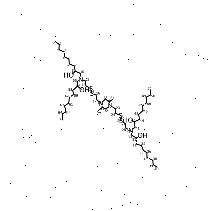 CCCCCCCCC(O)CN(CCSSCCN1CC(C)N(CCSSCCN(CC(O)CCCCCCCC)CC(O)CCCCCCCC)CC1C)CC(O)CCCCCCCC